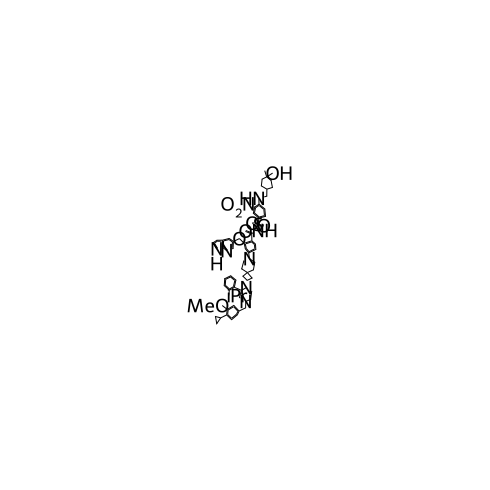 COc1cc(CN2CCN(C3CC4(CCN(c5ccc(C(=O)NS(=O)(=O)c6ccc(NCC7CCC(C)(O)CC7)c([N+](=O)[O-])c6)c(Oc6cnc7[nH]ccc7c6)c5)CC4)C3)C(c3ccccc3C(C)C)C2)ccc1C1CC1